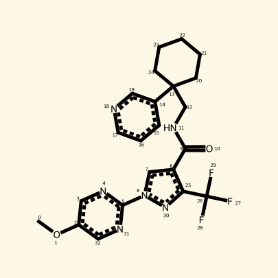 COc1cnc(-n2cc(C(=O)NCC3(c4cccnc4)CCCCC3)c(C(F)(F)F)n2)nc1